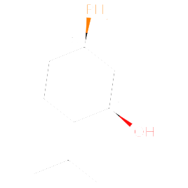 CC(C)[C@@H]1CC[C@@H](P)C[C@H]1O